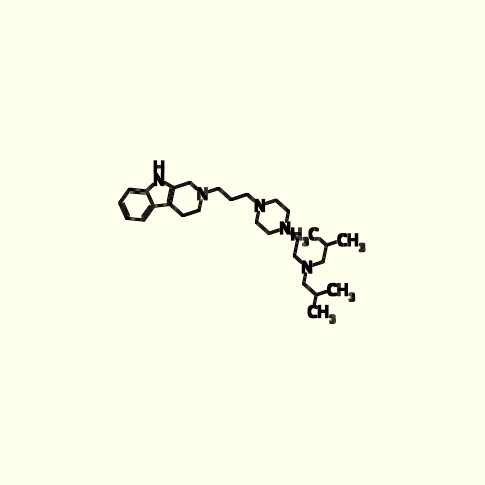 CC(C)CN(CCN1CCN(CCCN2CCc3c([nH]c4ccccc34)C2)CC1)CC(C)C